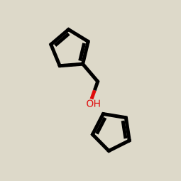 C1=CCC=C1.OCC1=CC=CC1